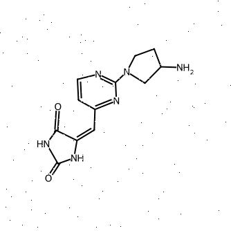 NC1CCN(c2nccc(C=C3NC(=O)NC3=O)n2)C1